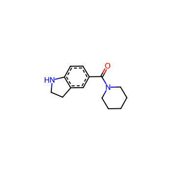 O=C(c1ccc2c(c1)CCN2)N1CCCCC1